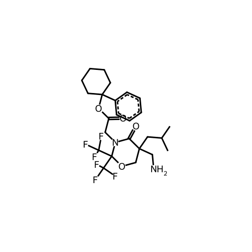 CC(C)CC1(CN)COC(C(F)(F)F)(C(F)(F)F)N(CC(=O)OC2(c3ccccc3)CCCCC2)C1=O